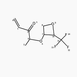 C=CC(=O)C(C)OC1COC1C(F)(F)F